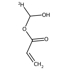 [2H]C(O)OC(=O)C=C